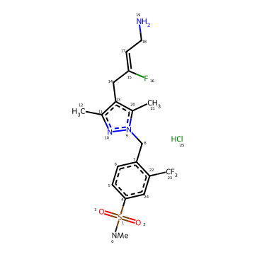 CNS(=O)(=O)c1ccc(Cn2nc(C)c(C/C(F)=C/CN)c2C)c(C(F)(F)F)c1.Cl